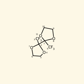 FC(F)(F)C1(C2(C(F)(F)F)OCCO2)OCCO1